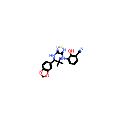 CC(C)(C)C(Nc1nsnc1Nc1cccc(C#N)c1O)c1ccc2c(c1)OCO2